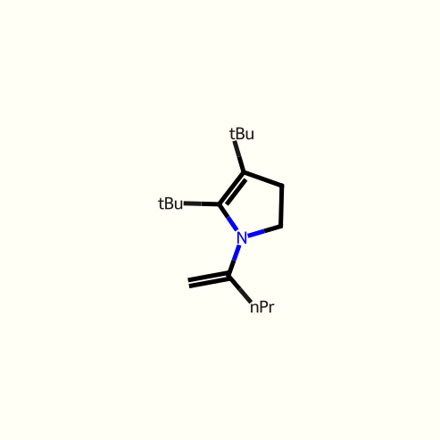 C=C(CCC)N1CCC(C(C)(C)C)=C1C(C)(C)C